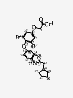 O=C(O)COc1cc(Br)c(Oc2ccc3[nH]c(CC4CCCC4)nc3c2)c(Br)c1